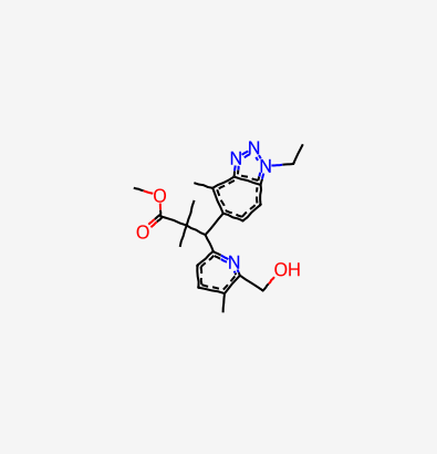 CCn1nnc2c(C)c(C(c3ccc(C)c(CO)n3)C(C)(C)C(=O)OC)ccc21